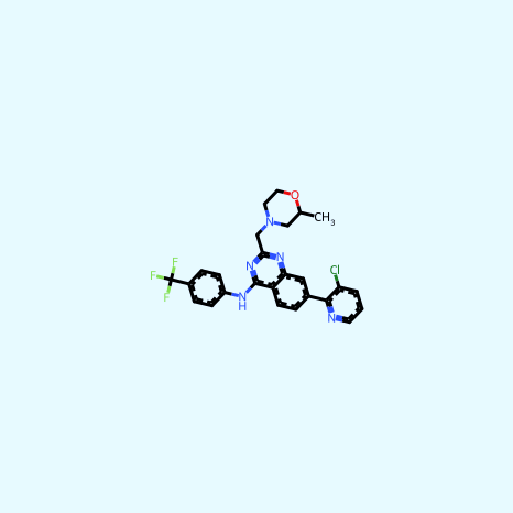 CC1CN(Cc2nc(Nc3ccc(C(F)(F)F)cc3)c3ccc(-c4ncccc4Cl)cc3n2)CCO1